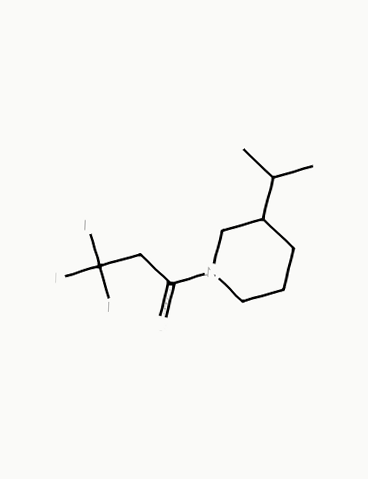 CC(C)C1CCCN(C(=O)CC(F)(F)F)C1